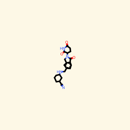 N#CC1CCCC(NCc2ccc3c(c2)CN(C2CCC(=O)NC2=O)C3=O)C1